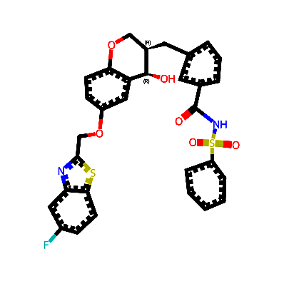 O=C(NS(=O)(=O)c1ccccc1)c1cccc(C[C@@H]2COc3ccc(OCc4nc5cc(F)ccc5s4)cc3[C@@H]2O)c1